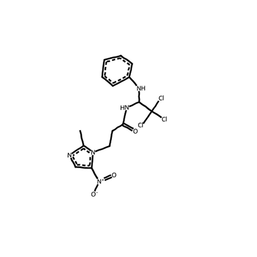 Cc1ncc([N+](=O)[O-])n1CCC(=O)NC(Nc1ccccc1)C(Cl)(Cl)Cl